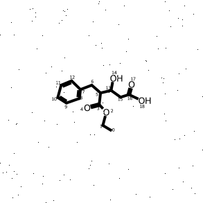 CCOC(=O)C(Cc1ccccc1)C(O)CC(=O)O